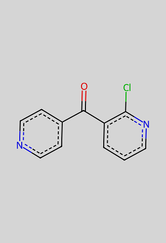 O=C(c1ccncc1)c1cccnc1Cl